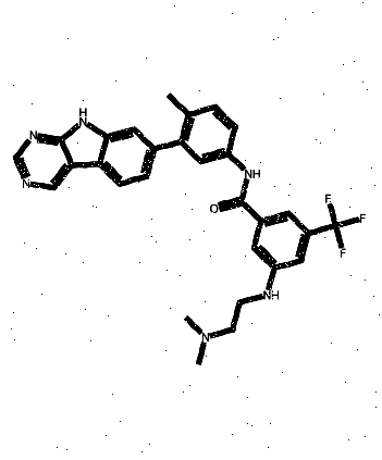 Cc1ccc(NC(=O)c2cc(NCCN(C)C)cc(C(F)(F)F)c2)cc1-c1ccc2c(c1)[nH]c1ncncc12